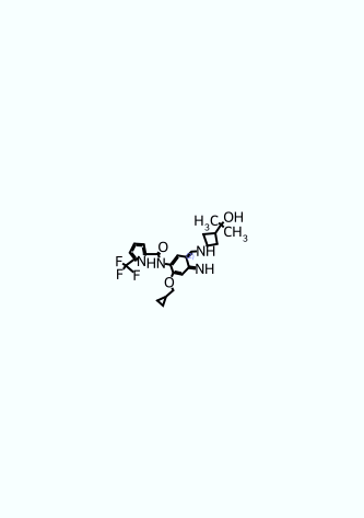 CC(C)(O)C1CC(N/C=C2/C=C(NC(=O)c3cccc(C(F)(F)F)n3)C(OCC3CC3)=CC2=N)C1